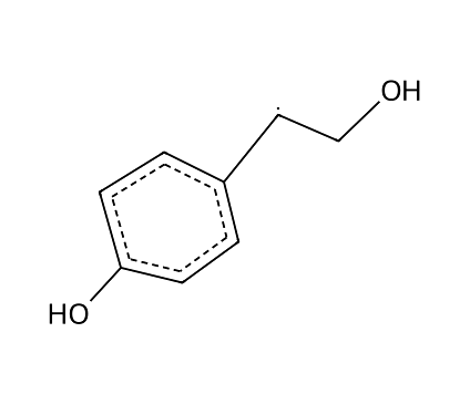 OC[CH]c1ccc(O)cc1